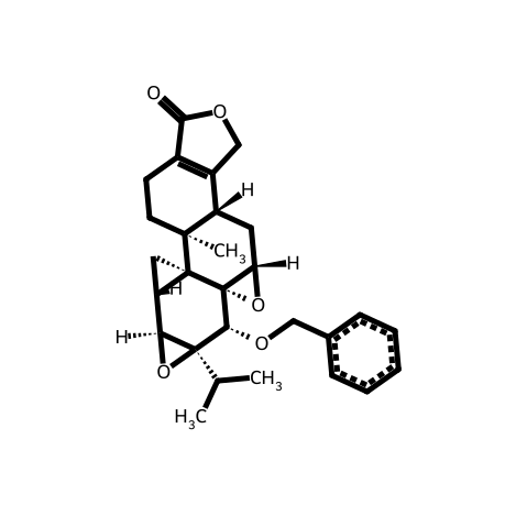 CC(C)[C@]12O[C@H]1[C@@H]1C[C@]13[C@]1(O[C@H]1C[C@H]1C4=C(CC[C@@]13C)C(=O)OC4)[C@@H]2OCc1ccccc1